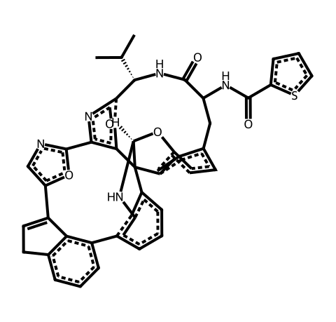 CC(C)[C@@H]1NC(=O)C(NC(=O)c2cccs2)Cc2ccc3c(c2)C24c5cccc(c5N[C@H]2O3)-c2cccc3c2C(=CC3)c2cnc(o2)-c2nc1oc24